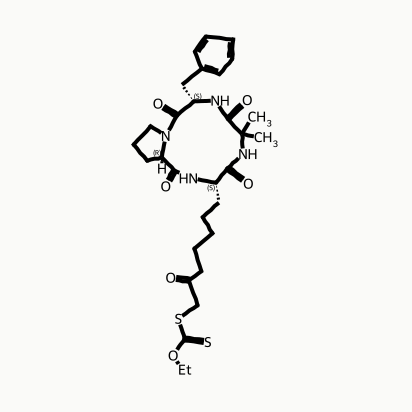 CCOC(=S)SCC(=O)CCCCC[C@@H]1NC(=O)[C@H]2CCCN2C(=O)[C@H](Cc2ccccc2)NC(=O)C(C)(C)NC1=O